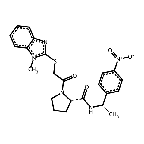 C[C@H](NC(=O)[C@@H]1CCCN1C(=O)CSc1nc2ccccc2n1C)c1ccc([N+](=O)[O-])cc1